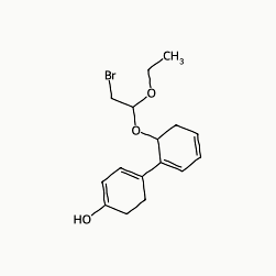 CCOC(CBr)OC1CC=CC=C1C1=CC=C(O)CC1